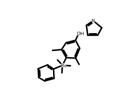 C1=CCN=C1.Cc1cc(O)cc(C)[c]1[Ru]([CH3])([CH3])([CH3])[c]1ccccc1